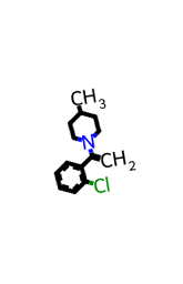 C=C(c1ccccc1Cl)N1CCC(C)CC1